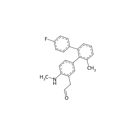 CNc1ccc(-c2c(C)cccc2-c2ccc(F)cc2)cc1CC=O